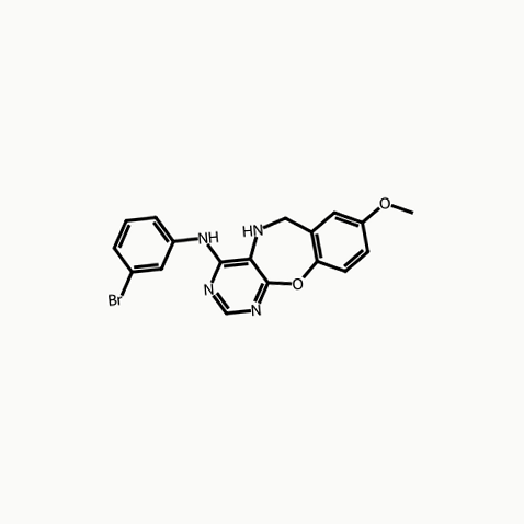 COc1ccc2c(c1)CNc1c(Nc3cccc(Br)c3)ncnc1O2